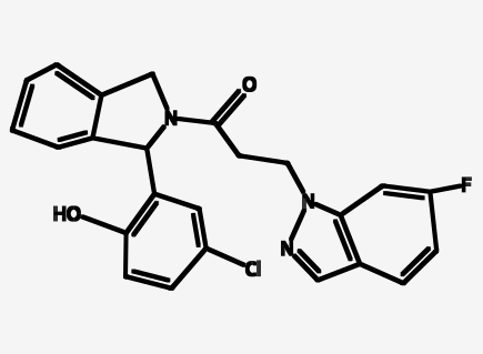 O=C(CCn1ncc2ccc(F)cc21)N1Cc2ccccc2C1c1cc(Cl)ccc1O